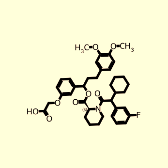 COc1ccc(CCC(OC(=O)[C@@H]2CCCCN2C(=O)C(c2cccc(F)c2)C2CCCCC2)c2cccc(OCC(=O)O)c2)cc1OC